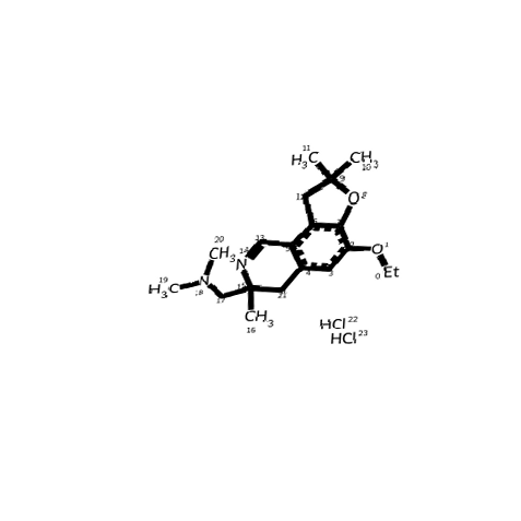 CCOc1cc2c(c3c1OC(C)(C)C3)C=NC(C)(CN(C)C)C2.Cl.Cl